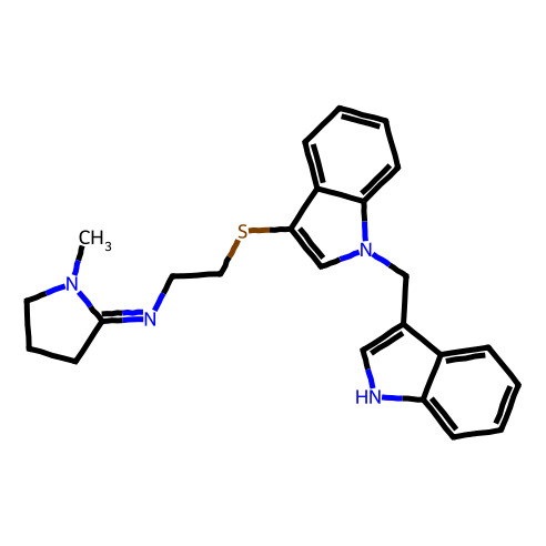 CN1CCCC1=NCCSc1cn(Cc2c[nH]c3ccccc23)c2ccccc12